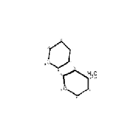 C1CCOCC1.C1CCOCC1.O